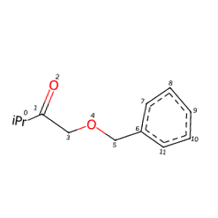 CC(C)C(=O)COCc1ccccc1